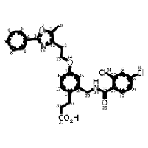 Cc1oc(-c2ccccc2)nc1CCOc1ccc(CCC(=O)O)c(CNC(=O)c2ccc(Cl)cc2Cl)c1